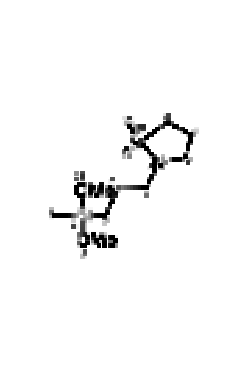 CO[Si](C)(CCCN1CCC[Si]1(C)C)OC